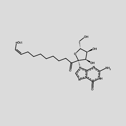 CCCCCCCC/C=C\CCCCCCCC(=O)[C@@]1(n2cnc3c(=O)[nH]c(N)nc32)O[C@H](CO)[C@@H](O)[C@H]1O